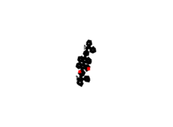 C1=CC2=NC(c3ccc(-c4c5ccccc5c(-c5c6ccccc6c(-c6ccc(C7=C(c8ccccc8)C8C=CC=CC8=N7)cc6)c6ccccc56)c5ccccc45)cc3)=C(c3ccccc3)C2C=C1